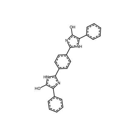 Oc1nc(-c2ccc(-c3nc(-c4ccccc4)c(O)[nH]3)cc2)[nH]c1-c1ccccc1